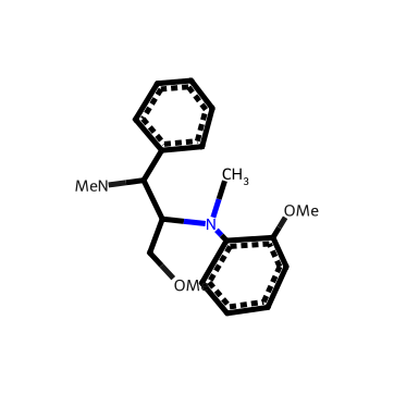 CNC(c1ccccc1)C(COC)N(C)c1ccccc1OC